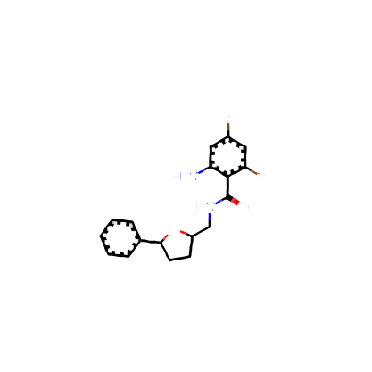 Nc1cc(Br)cc(Br)c1C(=O)NCC1CCC(c2ccccc2)O1